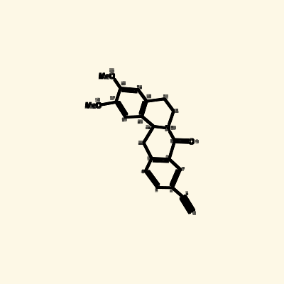 C#Cc1ccc2c(c1)C(=O)N1CCc3cc(OC)c(OC)cc3C1C2